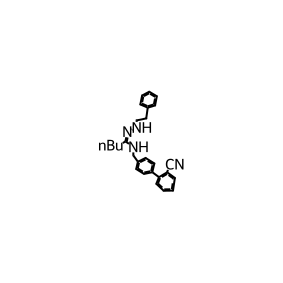 CCCC/C(=N/NCCc1ccccc1)NCc1ccc(-c2ccccc2C#N)cc1